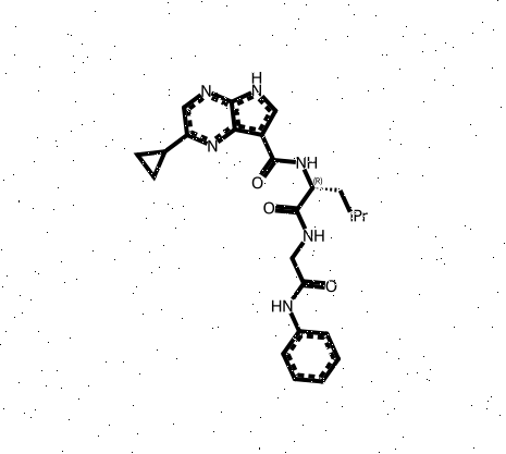 CC(C)C[C@@H](NC(=O)c1c[nH]c2ncc(C3CC3)nc12)C(=O)NCC(=O)Nc1ccccc1